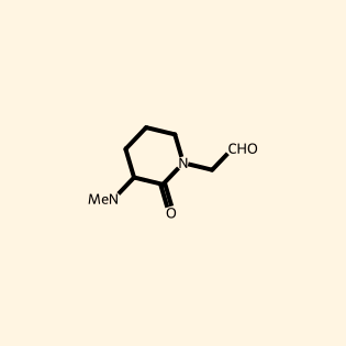 CNC1CCCN(CC=O)C1=O